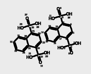 O=P(O)(O)c1ccc(P(=O)(O)O)c2ccccc12.O=P(O)(O)c1ccc(P(=O)(O)O)c2ccccc12